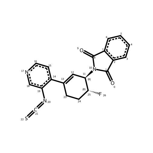 O=C1c2ccccc2C(=O)N1[C@@H]1C=C(c2ccncc2N=C=S)CC[C@H]1F